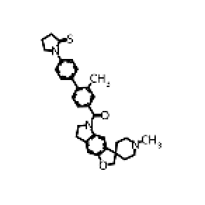 Cc1cc(C(=O)N2CCc3cc4c(cc32)C2(CCN(C)CC2)CO4)ccc1-c1ccc(N2CCCC2=S)cc1